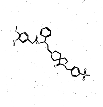 COc1ccc(CC(=O)NC(CCN2CCC3(CC2)CCN(Cc2ccc(S(C)(=O)=O)cc2)C3=O)c2ccccc2)cc1OC